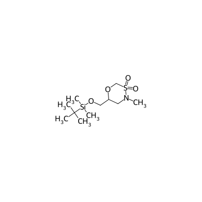 CN1CC(CO[Si](C)(C)C(C)(C)C)OCS1(=O)=O